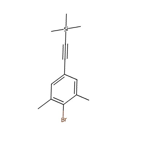 Cc1cc(C#C[Si](C)(C)C)cc(C)c1Br